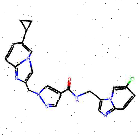 O=C(NCc1cnc2ccc(Cl)cn12)c1cnn(Cc2cn3cc(C4CC4)ccc3n2)c1